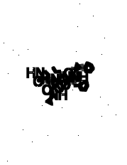 CCC[C@H](NC(=O)[C@@H](Cc1ccccc1)NC(=O)[C@H]1C[C@@H]1c1ccccc1)C(=O)N[C@@H](C[C@@H]1CCNC1=O)C(=O)C(=O)NC1CC1